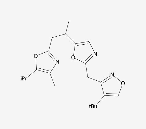 Cc1nc(CC(C)c2cnc(Cc3nocc3C(C)(C)C)o2)oc1C(C)C